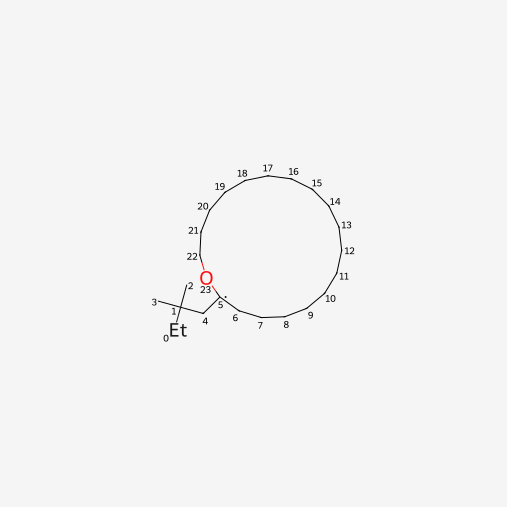 [CH2]CC(C)(C)C[C]1CCCCCCCCCCCCCCCCCO1